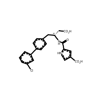 O=C(O)C[C@@H](Cc1ccc(-c2cccc(Cl)c2)cc1)NC(=O)c1cc(C(=O)O)c[nH]1